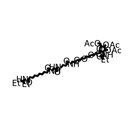 CC/C=C(\CC)NC(=O)CCCCCCCCC(=O)NCC(=O)NCCCC(=O)NCCOCCOCCOCCOC1OC(COC(C)=O)C(OC(C)=O)C(OC(C)=O)C1NC(=O)CC